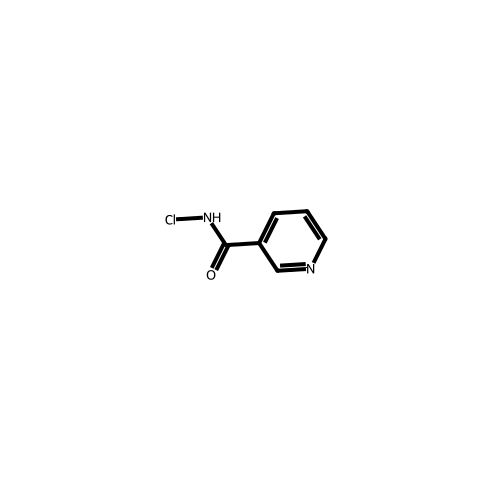 O=C(NCl)c1cccnc1